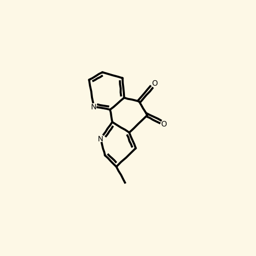 Cc1cnc2c(c1)C(=O)C(=O)c1cccnc1-2